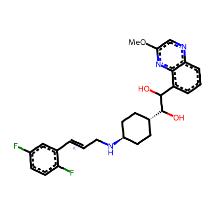 COc1cnc2cccc(C(O)C(O)[C@H]3CC[C@H](NC/C=C/c4cc(F)ccc4F)CC3)c2n1